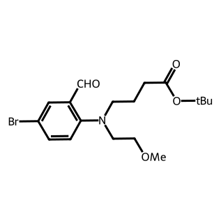 COCCN(CCCC(=O)OC(C)(C)C)c1ccc(Br)cc1C=O